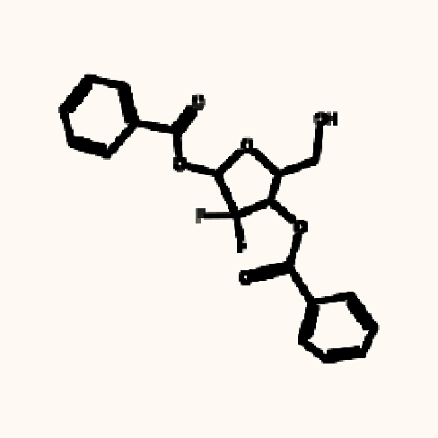 O=C(OC1OC(CO)C(OC(=O)c2ccccc2)C1(F)F)c1ccccc1